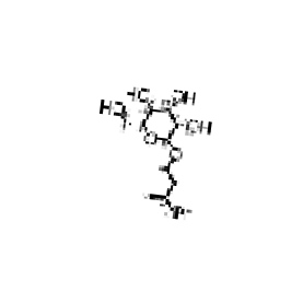 CC(C)C(C)CCO[C@H]1O[C@H](CO)[C@@H](O)[C@H](O)[C@@H]1O